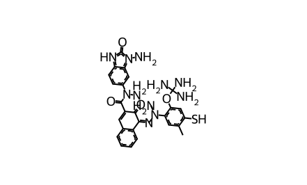 Cc1cc(N(N)/N=C2\C(=O)C(C(=O)N(N)c3ccc4[nH]c(=O)n(N)c4c3)=Cc3ccccc32)c(OC(N)(N)N)cc1S